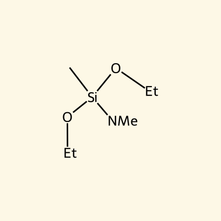 CCO[Si](C)(NC)OCC